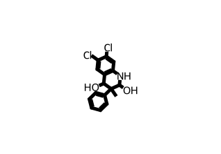 CC1(c2ccccc2)C(O)Nc2cc(Cl)c(Cl)cc2C1O